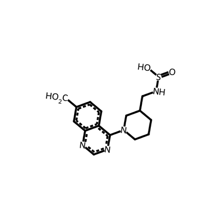 O=C(O)c1ccc2c(N3CCCC(CNS(=O)O)C3)ncnc2c1